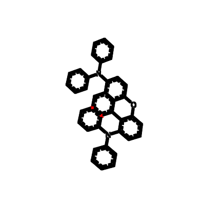 c1ccc(N(c2ccccc2)c2cccc3c2-c2cccc4c(N(c5ccccc5)c5ccccc5)ccc(c24)O3)cc1